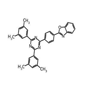 Cc1cc(C)cc(-c2nc(-c3ccc(-c4nc5ccccc5o4)cc3)nc(-c3cc(C)cc(C)c3)n2)c1